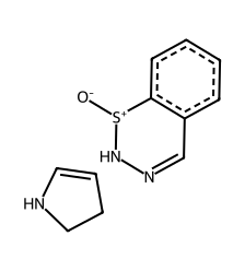 C1=CNCC1.[O-][S+]1NN=Cc2ccccc21